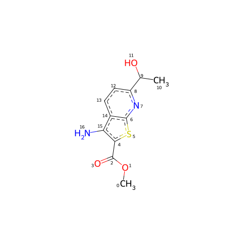 COC(=O)c1sc2nc(C(C)O)ccc2c1N